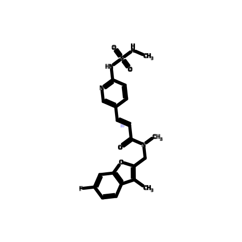 CNS(=O)(=O)Nc1ccc(/C=C/C(=O)N(C)Cc2oc3cc(F)ccc3c2C)cn1